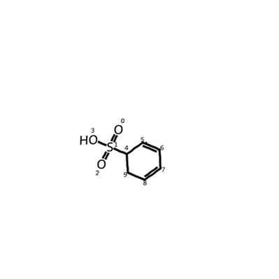 O=S(=O)(O)C1[C]=CC=CC1